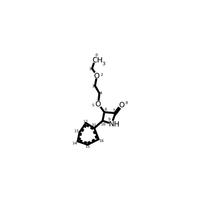 CCOCCOC1C(=O)NC1c1ccccc1